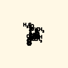 COc1ccc2[nH]c(C)c(CC(=O)N(C(=O)[C@@H](N)CCC[S+]([O-])CC(C)=O)c3ccc4ccccc4c3)c2c1